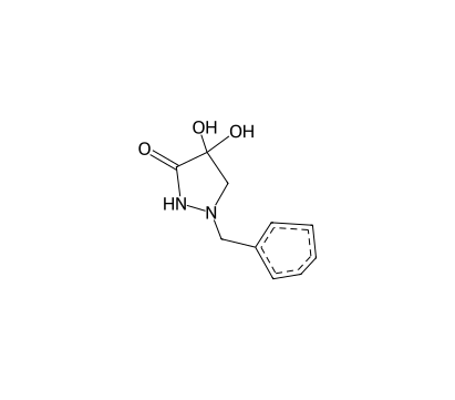 O=C1NN(Cc2ccccc2)CC1(O)O